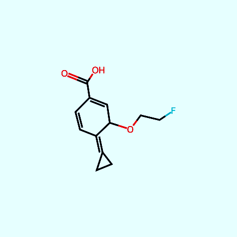 O=C(O)C1=CC(OCCF)C(=C2CC2)C=C1